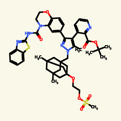 Cc1c(-c2cccnc2C(=O)OC(C)(C)C)c(-c2ccc3c(c2)N(C(=O)Nc2nc4ccccc4s2)CCO3)nn1CC12CC3(C)CC(C)(C1)CC(OCCOS(C)(=O)=O)(C3)C2